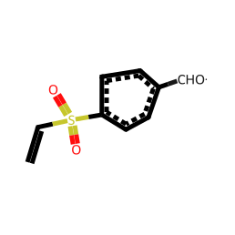 C=CS(=O)(=O)c1ccc([C]=O)cc1